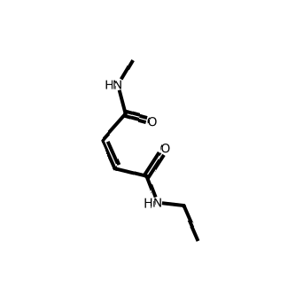 CCNC(=O)/C=C\C(=O)NC